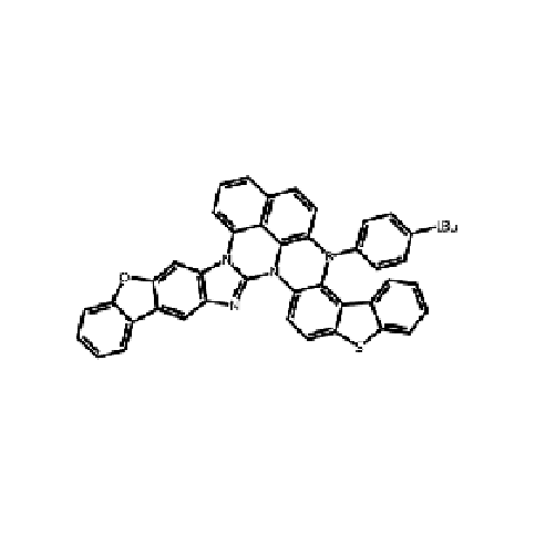 CC(C)(C)c1ccc(B2c3c(ccc4sc5ccccc5c34)-n3c4c2ccc2cccc(c24)n2c4cc5oc6ccccc6c5cc4nc32)cc1